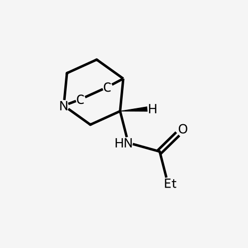 CCC(=O)N[C@@H]1CN2CCC1CC2